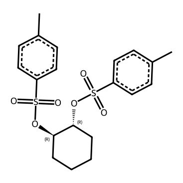 Cc1ccc(S(=O)(=O)O[C@@H]2CCCC[C@H]2OS(=O)(=O)c2ccc(C)cc2)cc1